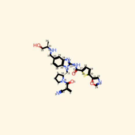 C=C(C#N)C(=O)N1CCC[C@@H]1Cn1c(NC(=O)c2ccc(-c3cnco3)s2)nc2cc(CN[C@H](C)CO)ccc21